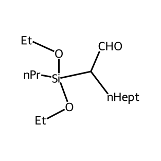 CCCCCCCC(C=O)[Si](CCC)(OCC)OCC